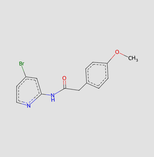 COc1ccc(CC(=O)Nc2cc(Br)ccn2)cc1